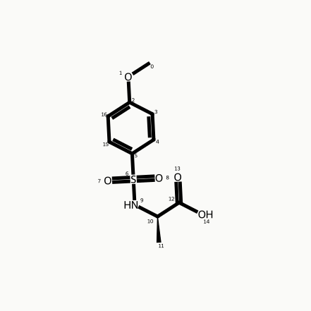 COc1ccc(S(=O)(=O)N[C@H](C)C(=O)O)cc1